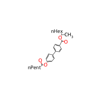 CCCCCCC(C)OC(=O)c1ccc(-c2ccc(OC(=O)CCCCC)cc2)cc1